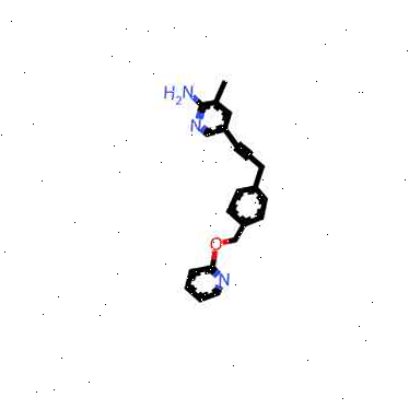 Cc1cc(C#CCc2ccc(COc3ccccn3)cc2)cnc1N